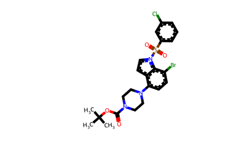 CC(C)(C)OC(=O)N1CCN(c2ccc(Br)c3c2ccn3S(=O)(=O)c2cccc(Cl)c2)CC1